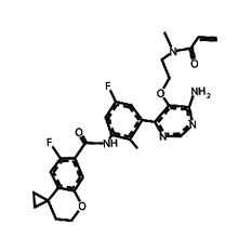 C=CC(=O)N(C)CCOc1c(N)ncnc1-c1cc(F)cc(NC(=O)c2cc3c(cc2F)C2(CCO3)CC2)c1C